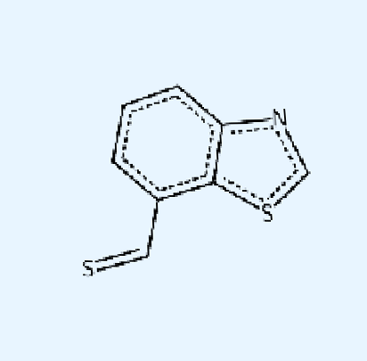 S=Cc1cccc2ncsc12